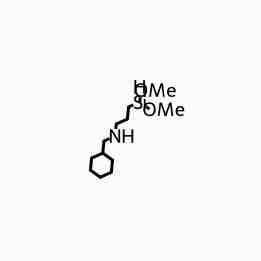 CO[SiH](CCCNCC1CCCCC1)OC